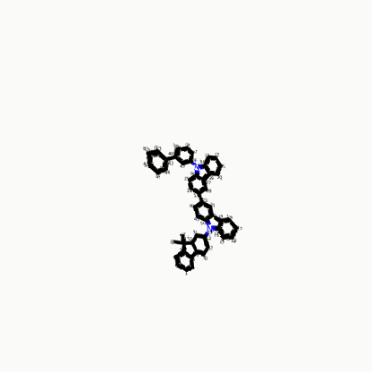 CC1(C)c2ccccc2C2=CC=C(n3c4ccccc4c4cc(-c5ccc6c(c5)c5ccccc5n6-c5cccc(-c6ccccc6)c5)ccc43)CC21